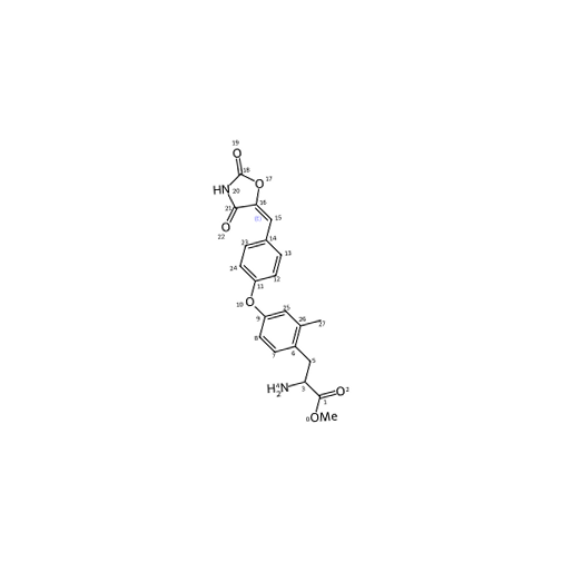 COC(=O)C(N)Cc1ccc(Oc2ccc(/C=C3/OC(=O)NC3=O)cc2)cc1C